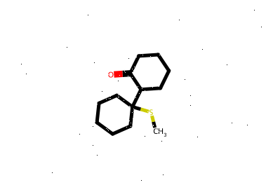 CSC1(C2CCCCC2=O)CCCCC1